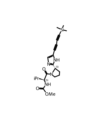 COC(=O)N[C@H](C(=O)N1CCC[C@H]1c1ncc(C#CC#C[Si](C)(C)C)[nH]1)C(C)C